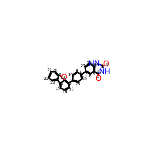 O=c1[nH]c(=O)c2cc(-c3ccc(-c4cccc5c4oc4ccccc45)cc3)ccc2[nH]1